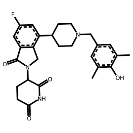 Cc1cc(CN2CCC(c3cc(F)cc4c3CN(C3CCC(=O)NC3=O)C4=O)CC2)cc(C)c1O